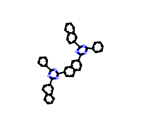 c1ccc(-c2nc(-c3ccc4ccccc4c3)nc(-c3ccc4ccc(-c5nc(-c6ccccc6)nc(-c6ccc7ccccc7c6)n5)cc4c3)n2)cc1